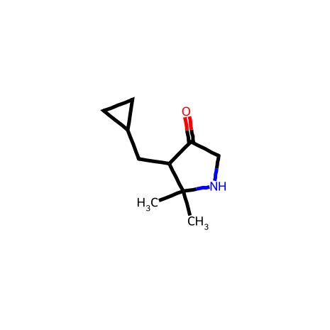 CC1(C)NCC(=O)C1CC1CC1